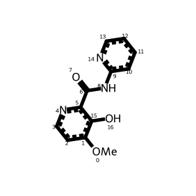 COc1ccnc(C(=O)Nc2ccccn2)c1O